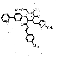 COCCN(C)C(=O)C(Cc1ccn(C)n1)N(Cc1ccc(-c2ccccn2)cc1)C(=O)C=Cc1ccc(C(F)(F)F)cc1